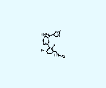 Cn1cc(-c2n[nH]c3cnc(-c4c(F)ccc(CNC5CC5)c4F)cc23)cn1